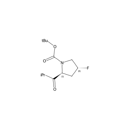 CC(C)C(=O)[C@@H]1C[C@@H](F)CN1C(=O)OC(C)(C)C